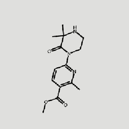 COC(=O)c1ccc(N2CCNC(C)(C)C2=O)nc1C